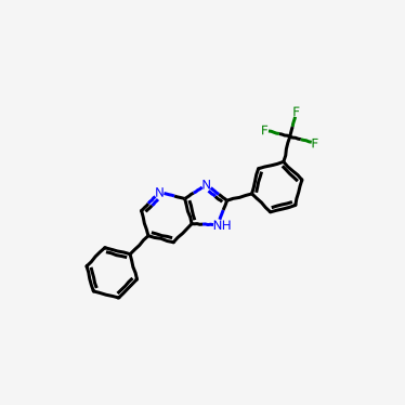 FC(F)(F)c1cccc(-c2nc3ncc(-c4ccccc4)cc3[nH]2)c1